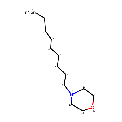 CCCCCCCCCCCCCCCCCN1CCOCC1